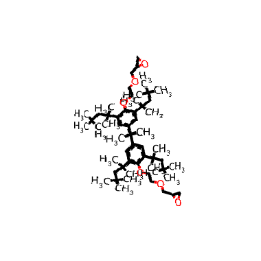 CC(C)(C)CC(C)(C)c1cc(C(C)(C)c2cc(C(C)(C)CC(C)(C)C)c(OCCOCC3CO3)c(C(C)(C)CC(C)(C)C)c2)cc(C(C)(C)CC(C)(C)C)c1OCCOCC1CO1